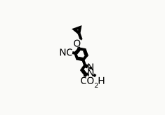 Cn1nc(-c2ccc(OCC3CC3)c(C#N)c2)cc1C(=O)O